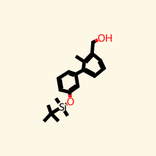 Cc1c(CO)cccc1-c1cccc(O[Si](C)(C)C(C)(C)C)c1